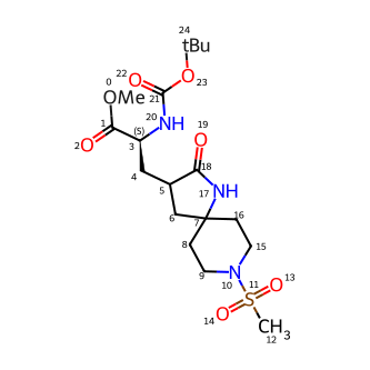 COC(=O)[C@H](CC1CC2(CCN(S(C)(=O)=O)CC2)NC1=O)NC(=O)OC(C)(C)C